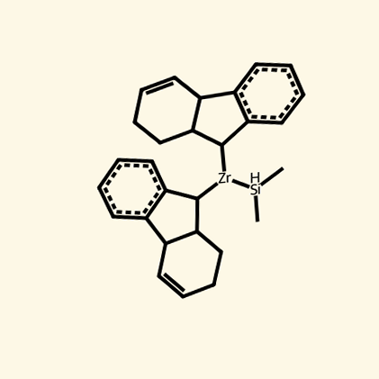 C[SiH](C)[Zr]([CH]1c2ccccc2C2C=CCCC21)[CH]1c2ccccc2C2C=CCCC21